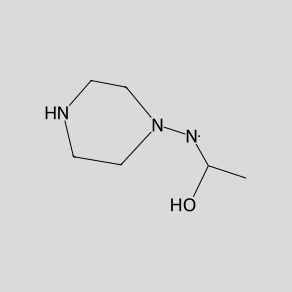 CC(O)[N]N1CCNCC1